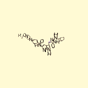 CN1CCN(c2ccc(C(=O)Nc3cnc4[nH]cc(/C=C5/N=C(NC6CC7CCC6C7)NC5=O)c4c3)cc2)CC1